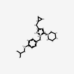 CC(C)COc1ccc(Cn2nc(CC3CC3)cc2N2CCCCC2)cc1